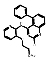 COCCOC1C=CC=NC1Nc1nc(Cl)nc2cccc(-c3ccccc3)c12